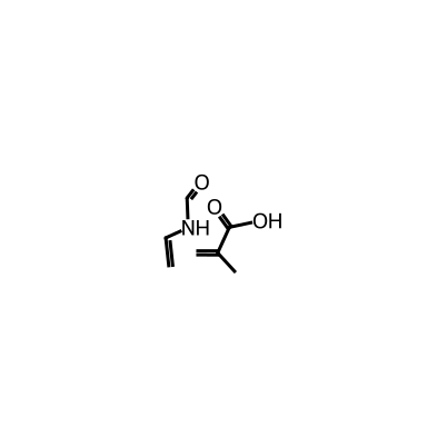 C=C(C)C(=O)O.C=CNC=O